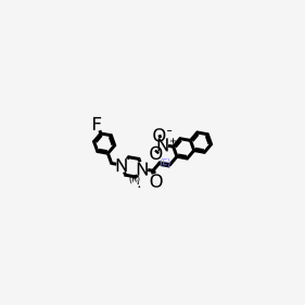 C[C@@H]1CN(Cc2ccc(F)cc2)CCN1C(=O)/C=C/c1cc2ccccc2cc1[N+](=O)[O-]